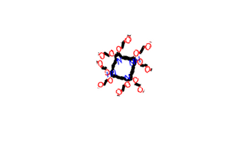 COCCOC1=C(OCCOC)c2cc3[nH]c(cc4nc(cc5[nH]c(cc1n2)c(OCCOC)c5OCCOC)C(OCCOC)=C4OCCOC)c(OCCOC)c3OCCOC